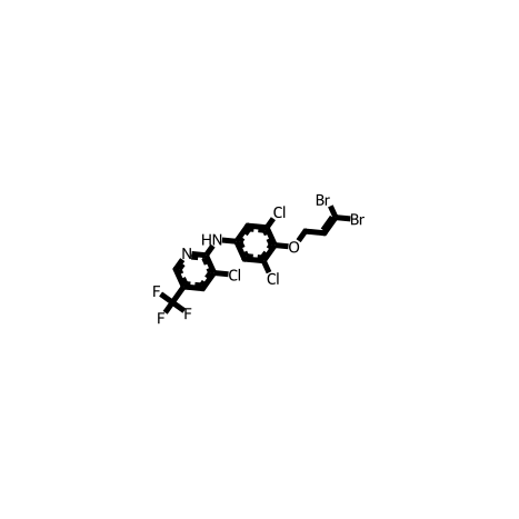 FC(F)(F)c1cnc(Nc2cc(Cl)c(OCC=C(Br)Br)c(Cl)c2)c(Cl)c1